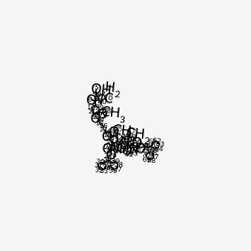 C=C1CC(CO)N(C(=O)c2ccc(OCCCCCOc3cc(NC(=O)OCC4c5ccccc5-c5ccccc54)c(C(=O)N4CC(=C)CC4C4OCCN4C(=O)OCC4c5ccccc5-c5ccccc54)cc3OC)c(OC)c2)C1